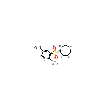 Cc1ccc([N+](=O)[O-])cc1S(=O)(=O)C1CCCCCC1